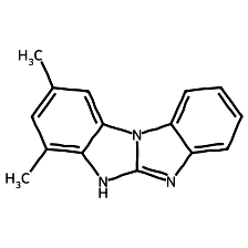 Cc1cc(C)c2[nH]c3nc4ccccc4n3c2c1